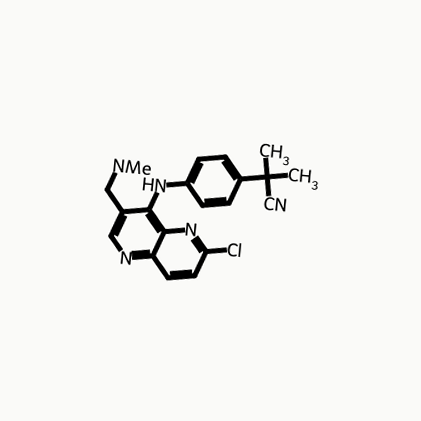 CNCc1cnc2ccc(Cl)nc2c1Nc1ccc(C(C)(C)C#N)cc1